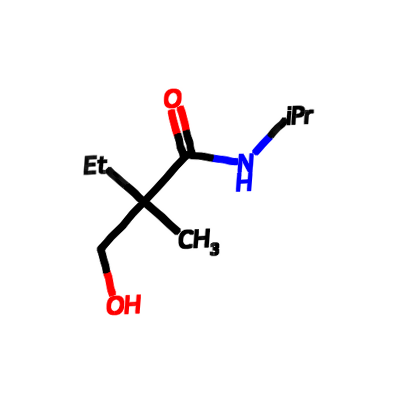 CCC(C)(CO)C(=O)NC(C)C